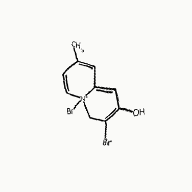 CC1=CC2=CC(O)=C(Br)C[N+]2(Br)C=C1